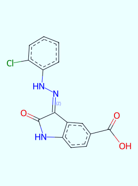 O=C1Nc2ccc(C(=O)O)cc2/C1=N/Nc1ccccc1Cl